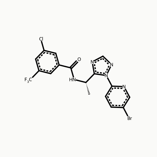 C[C@H](NC(=O)c1cc(Cl)cc(C(F)(F)F)c1)c1ncnn1-c1ccc(Br)cn1